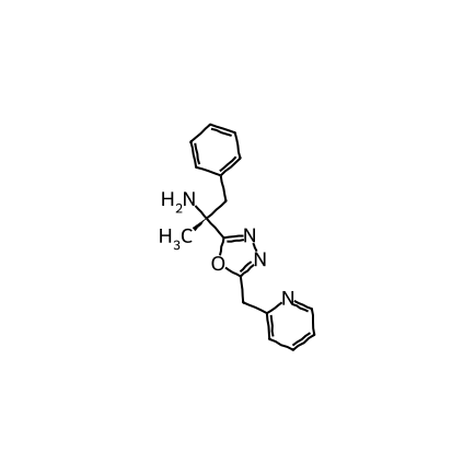 C[C@@](N)(Cc1ccccc1)c1nnc(Cc2ccccn2)o1